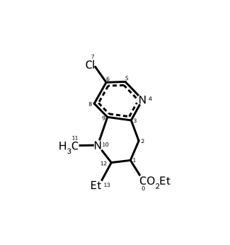 CCOC(=O)C1Cc2ncc(Cl)cc2N(C)C1CC